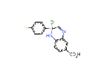 O=C(O)c1ccc2c(c1)N=CC(Cl)(c1ccc(F)cc1)N2